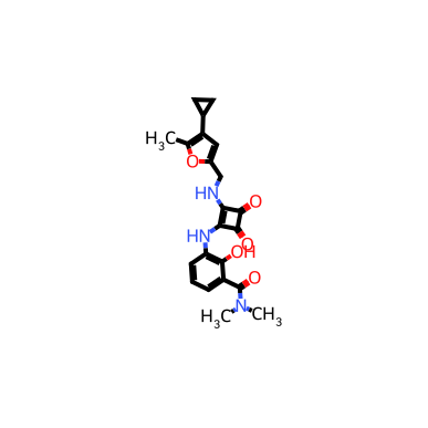 Cc1oc(CNc2c(Nc3cccc(C(=O)N(C)C)c3O)c(=O)c2=O)cc1C1CC1